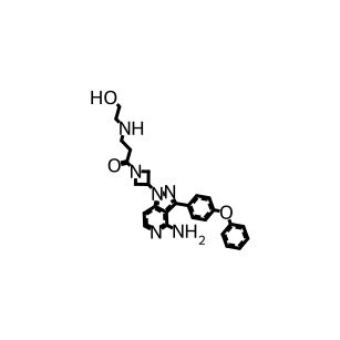 Nc1nccc2c1c(-c1ccc(Oc3ccccc3)cc1)nn2C1CN(C(=O)CCNCCO)C1